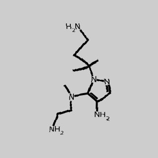 CN(CCN)c1c(N)cnn1C(C)(C)CCN